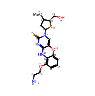 COC1C[C@H](n2cc3c(nc2=S)Nc2c(OCCN)cccc2O3)S[C@@H]1CO